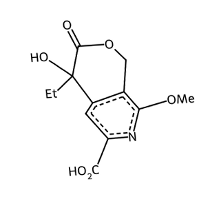 CCC1(O)C(=O)OCc2c1cc(C(=O)O)nc2OC